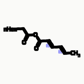 C/C=C/C=C/C(=O)OC(=O)CCCCCCC